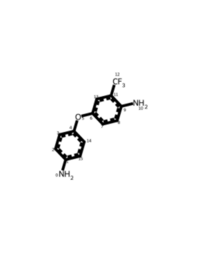 Nc1ccc(Oc2ccc(N)c(C(F)(F)F)c2)cc1